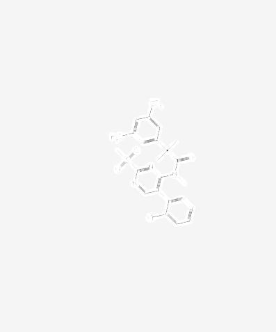 CN(C(=O)C(C)(C)c1cc(C(F)(F)F)cc(C(F)(F)F)c1)c1nc(S(C)(=O)=O)ncc1-c1ccccc1Cl